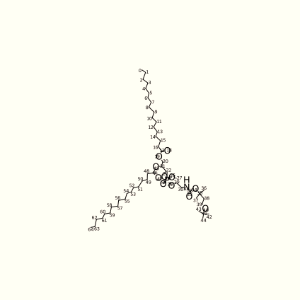 CCCCCCCCCCCCCCCCCC(=O)OCC(COP(=O)(OC)OCCNC(=O)OC(C)(C)CCOC(C)(C)C)OC(=O)CCCCCCCCCCCCCCCCC